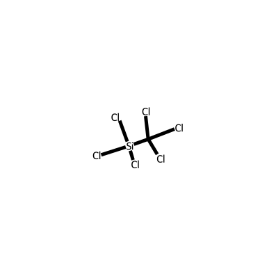 ClC(Cl)(Cl)[Si](Cl)(Cl)Cl